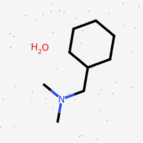 CN(C)CC1CCCCC1.O